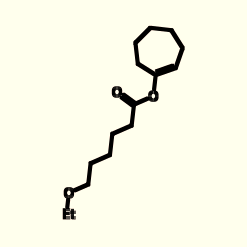 CCOCCCCCC(=O)OC1=CCCCCC1